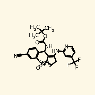 C[S+]([O-])c1cc(C#N)ccc1C(NC(=O)OC(C)(C)C)C1=C(Nc2cc(C(F)(F)F)ccn2)CCC1=O